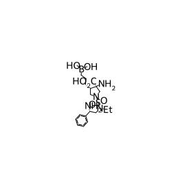 CCN(C[C@@H](N)c1ccccc1)S(=O)(=O)N1C[C@H](CCCB(O)O)[C@](N)(C(=O)O)C1